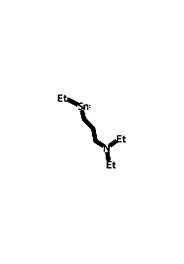 C[CH2][Sn][CH2]CCN(CC)CC